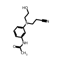 CC(=O)Nc1cccc(N(CCO)CCC#N)c1